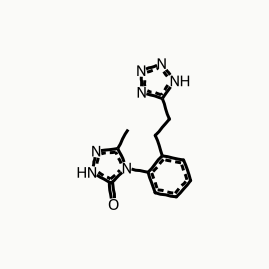 Cc1n[nH]c(=O)n1-c1ccccc1CCc1nnn[nH]1